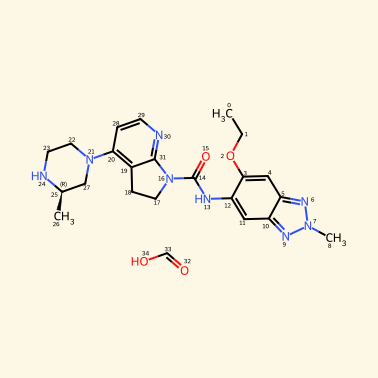 CCOc1cc2nn(C)nc2cc1NC(=O)N1CCc2c(N3CCN[C@H](C)C3)ccnc21.O=CO